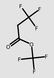 O=C(CC(F)(F)F)OC(F)(F)F